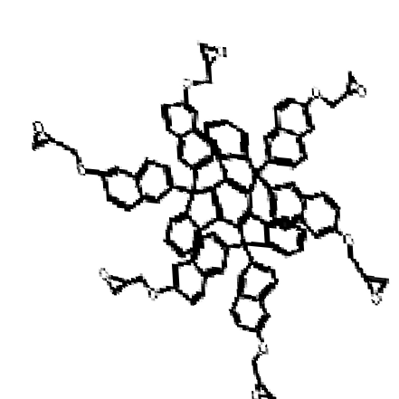 c1ccc2c(c1)-c1c(c3c(c4c1C(c1ccc5cc(OCC6CO6)ccc5c1)(c1ccc5cc(OCC6CO6)ccc5c1)c1ccccc1-4)C(c1ccc4cc(OCC5CO5)ccc4c1)(c1ccc4cc(OCC5CO5)ccc4c1)c1ccccc1-3)C2(c1ccc2cc(OCC3CO3)ccc2c1)c1ccc2cc(OCC3CO3)ccc2c1